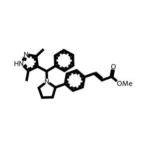 COC(=O)C=Cc1ccc(C2CCCN2C(c2ccccc2)c2c(C)n[nH]c2C)cc1